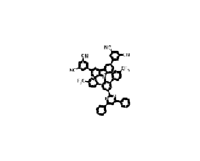 N#Cc1cc(C#N)cc(-c2ccc3c(c2)c2cc(-c4cc(C#N)cc(C#N)c4)ccc2n3-c2c(-c3ccc(C(F)(F)F)cc3)cc(-c3nc(-c4ccccc4)cc(-c4ccccc4)n3)cc2-c2ccc(C(F)(F)F)cc2)c1